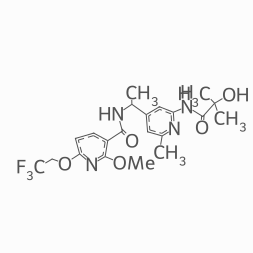 COc1nc(OCC(F)(F)F)ccc1C(=O)NC(C)c1cc(C)nc(NC(=O)C(C)(C)O)c1